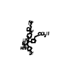 CN(C)CCC(=O)N(C)c1ccc(N/C(=C2\C(=O)Nc3cc(Br)ccc32)c2cccc(CCC(=O)O)c2)cc1